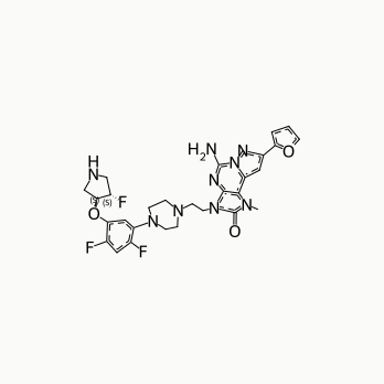 Cn1c(=O)n(CCN2CCN(c3cc(O[C@H]4CNC[C@@H]4F)c(F)cc3F)CC2)c2nc(N)n3nc(-c4ccco4)cc3c21